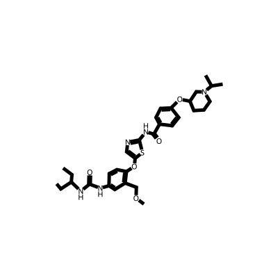 CCC(CC)NC(=O)Nc1ccc(Oc2cnc(NC(=O)c3ccc(OC4CCCN(C(C)C)C4)cc3)s2)c(COC)c1